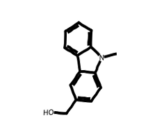 Cn1c2ccccc2c2cc(CO)ccc21